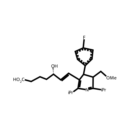 COCC1C(C(C)C)=NC(C(C)C)=C(/C=C/[C@@H](O)CCCC(=O)O)C1c1ccc(F)cc1